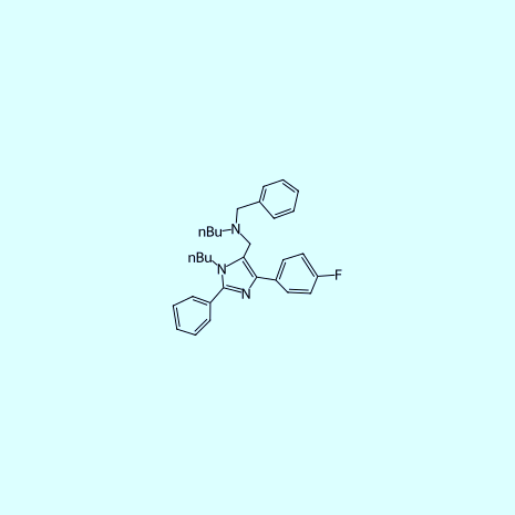 CCCCN(Cc1ccccc1)Cc1c(-c2ccc(F)cc2)nc(-c2ccccc2)n1CCCC